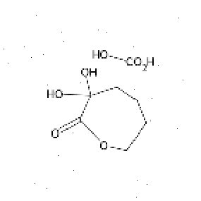 O=C(O)O.O=C1OCCCCC1(O)O